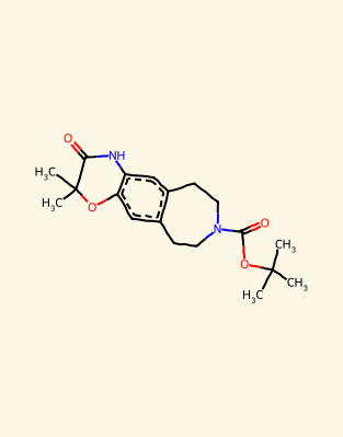 CC(C)(C)OC(=O)N1CCc2cc3c(cc2CC1)OC(C)(C)C(=O)N3